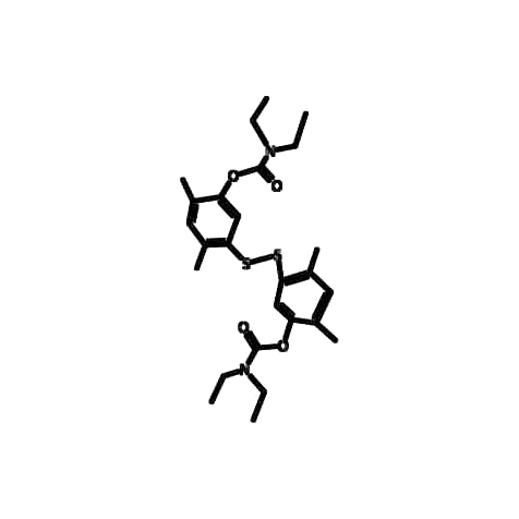 CCN(CC)C(=O)Oc1cc(SSc2cc(OC(=O)N(CC)CC)c(C)cc2C)c(C)cc1C